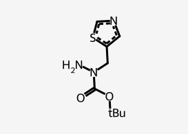 CC(C)(C)OC(=O)N(N)Cc1cncs1